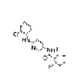 O=C(Nc1ccc(Nc2ccccc2Cl)nc1)c1c(F)cccc1F